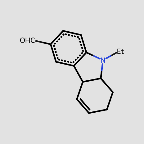 CCN1c2ccc(C=O)cc2C2C=CCCC21